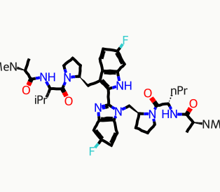 CCC[C@H](NC(=O)[C@H](C)NC)C(=O)N1CCC[C@H]1Cn1c(-c2[nH]c3cc(F)ccc3c2C[C@@H]2CCCN2C(=O)C(NC(=O)[C@H](C)NC)C(C)C)nc2cc(F)ccc21